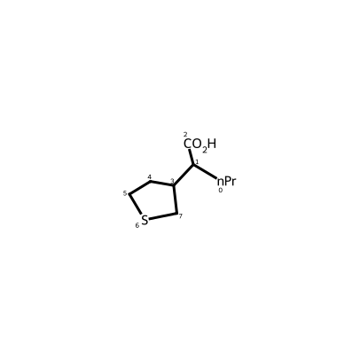 CCCC(C(=O)O)C1CCSC1